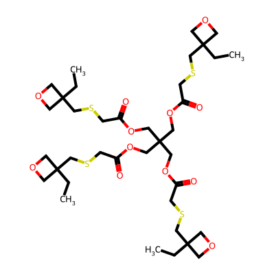 CCC1(CSCC(=O)OCC(COC(=O)CSCC2(CC)COC2)(COC(=O)CSCC2(CC)COC2)COC(=O)CSCC2(CC)COC2)COC1